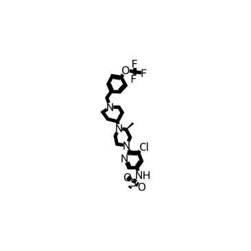 C[C@H]1CN(c2ncc(NS(C)(=O)=O)cc2Cl)CCN1C1CCN(Cc2ccc(OC(F)(F)F)cc2)CC1